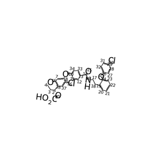 O=C(O)OC1CCOc2cc(Oc3ccc(C(=O)NCCc4ccccc4Oc4ccc(Cl)cc4)cc3)c(Cl)cc21